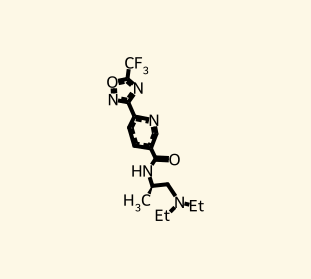 CCN(CC)C[C@@H](C)NC(=O)c1ccc(-c2noc(C(F)(F)F)n2)nc1